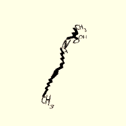 CCCCCCCCC=CCCCCCCCCNCC(CCCC)C(=O)O